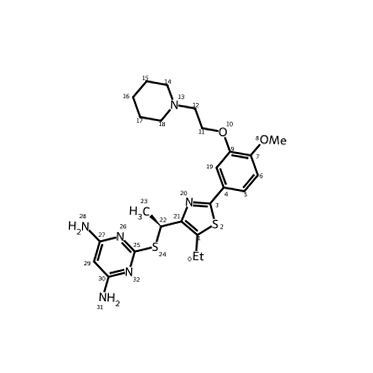 CCc1sc(-c2ccc(OC)c(OCCN3CCCCC3)c2)nc1[C@H](C)Sc1nc(N)cc(N)n1